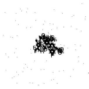 C#C[C@@H]1CC(C(=N)C(F)F)=C(NCC(=O)N[C@@H](Cc2cc(F)cc(F)c2)c2nc(C#CC(C)(C)S(C)(=O)=O)ccc2-c2ccc(Cl)c3c(NS(=O)(=O)C4CC4)nn(CC(F)F)c23)C1(F)F